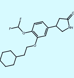 O=C1CC(c2ccc(OC(F)F)c(OCCC3CCCCC3)c2)CN1